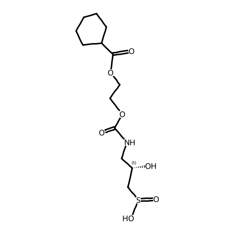 O=C(NC[C@H](O)CS(=O)O)OCCOC(=O)C1CCCCC1